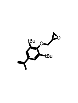 C=C(C)c1cc(C(C)(C)C)c(OCC2CO2)c(C(C)(C)C)c1